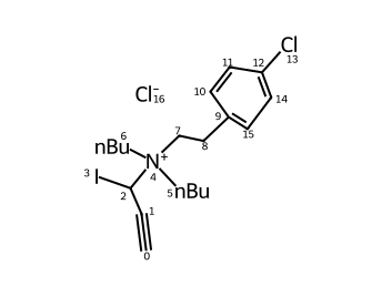 C#CC(I)[N+](CCCC)(CCCC)CCc1ccc(Cl)cc1.[Cl-]